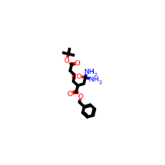 CC(C)(C)OC(=O)CCCC(CC(N)(N)O)C(=O)OCc1ccccc1